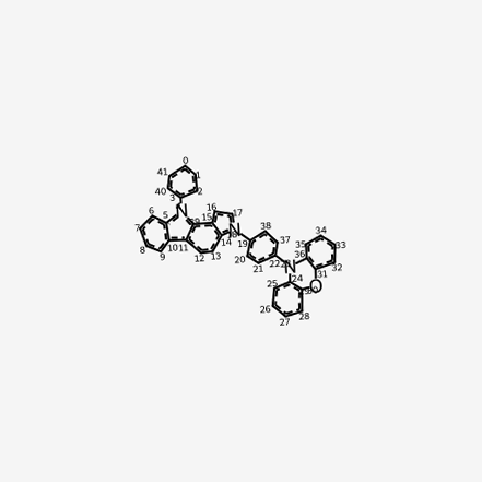 c1ccc(-n2c3ccccc3c3ccc4c(ccn4-c4ccc(N5c6ccccc6Oc6ccccc65)cc4)c32)cc1